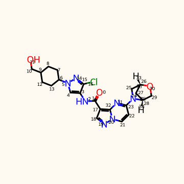 O=C(Nc1cn(C2CCC(CO)CC2)nc1Cl)c1cnn2ccc(N3C[C@H]4C[C@@H]3CO4)nc12